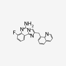 Nc1nc2c(F)cccc2c2nc(Cc3cccc4cccnc34)cn12